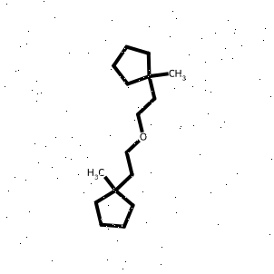 CC1(CCOCCC2(C)CCCC2)CCCC1